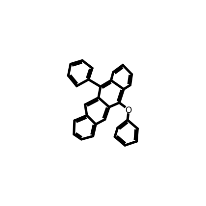 c1ccc(Oc2c3ccccc3c(-c3ccccc3)c3cc4ccccc4cc23)cc1